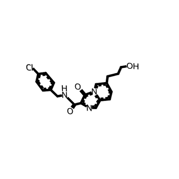 O=C(NCc1ccc(Cl)cc1)c1ncc2ccc(CCCO)cn2c1=O